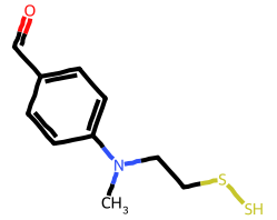 CN(CCSS)c1ccc(C=O)cc1